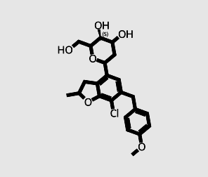 COc1ccc(Cc2cc(C3CC(O)[C@H](O)C(CO)O3)c3c(c2Cl)OC(C)C3)cc1